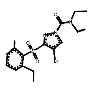 CCc1cccc(C)c1S(=O)(=O)c1nn(C(=O)N(CC)CC)cc1Br